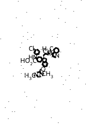 C[C@@H](COc1ccnc2c1[C@@H](C)CCC2)C[C@H]1Cc2ccc(OCC3CN(C)CCN3C)cc2C12CCC(Nc1cccc(Cl)c1)(C(=O)O)CC2